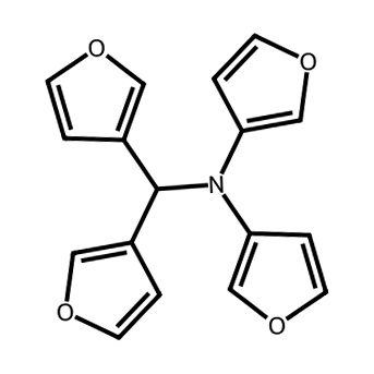 c1cc(C(c2ccoc2)N(c2ccoc2)c2ccoc2)co1